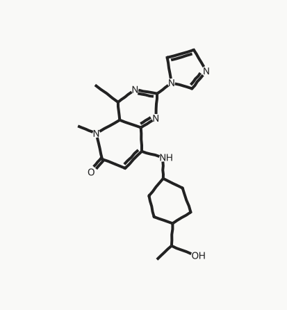 CC(O)C1CCC(NC2=CC(=O)N(C)C3C2=NC(n2ccnc2)=NC3C)CC1